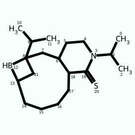 CC(C)N1CCC2CC3(C(C)C)BC(CCCCC2C1=S)C3